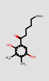 CCCCCCCCCCCCCC(=O)c1cc(O)c(C)c(C)c1O